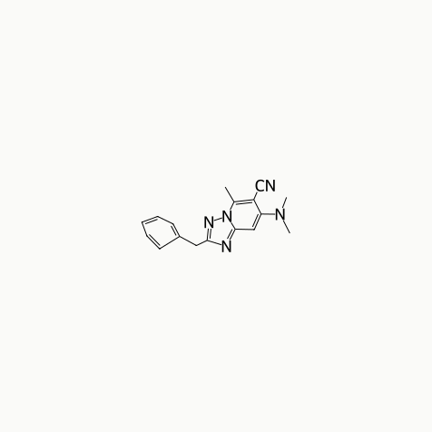 Cc1c(C#N)c(N(C)C)cc2nc(Cc3ccccc3)nn12